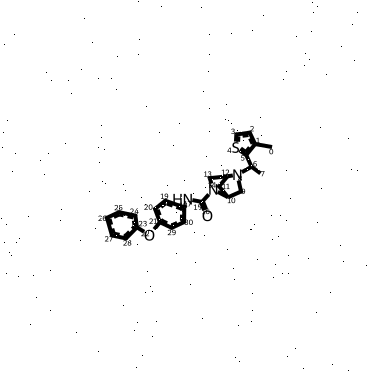 Cc1ccsc1C(C)N1CC2CC1CN2C(=O)Nc1ccc(Oc2ccccc2)cc1